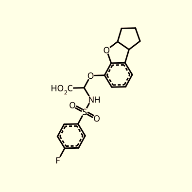 O=C(O)C(NS(=O)(=O)c1ccc(F)cc1)Oc1cccc2c1OC1CCCC21